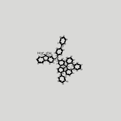 CC1(C)c2ccccc2-c2ccc(N(c3ccc(-c4ccccc4)cc3)c3ccc(C4(c5cccc(-c6ccccc6)c5)c5ccccc5-c5ccccc5-c5ccccc54)cc3)cc21